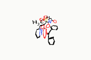 C[C@]1(/C=C/c2ccccn2)[C@H](OC(=O)OC(c2ccccc2)c2ccccc2)N2C(=O)C[C@H]2S1(=O)=O